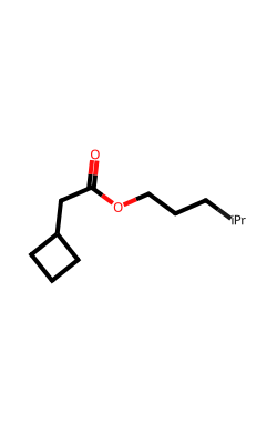 CC(C)CCCOC(=O)CC1CCC1